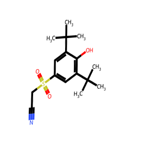 CC(C)(C)c1cc(S(=O)(=O)CC#N)cc(C(C)(C)C)c1O